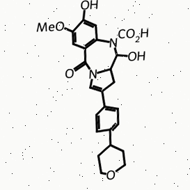 COc1cc2c(cc1O)N(C(=O)O)C(O)C1CC(c3ccc(C4CCOCC4)cc3)=CN1C2=O